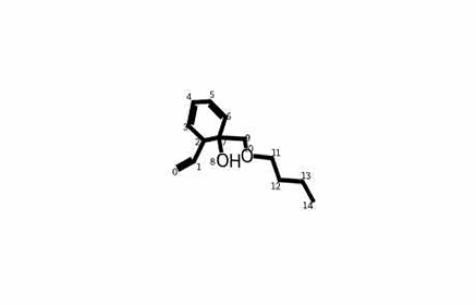 C=CC1C=CC=CC1(O)COCCCC